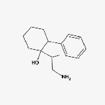 CC(CN)C1(O)CCCCC1c1ccccc1